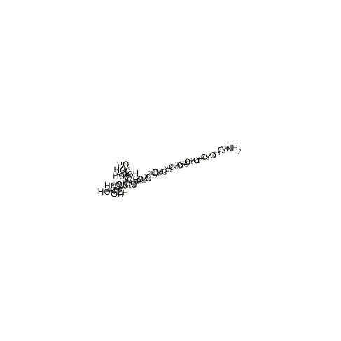 NCCOCCOCCOCCOCCOCCOCCOCCOCCOCCOCCOCCOCCN(C[C@H](O)[C@@H](O)[C@H](O)[C@H](O)CO)C[C@H](O)[C@@H](O)[C@H](O)[C@H](O)CO